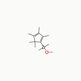 C[O][Zr]([CH3])([CH3])[C]1=C(C)C(C)=C(C)C1(C)C